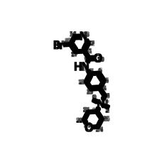 C[N+](C)(Cc1ccc(NC(=O)c2cncc(Br)c2)cc1)C1CCOCC1